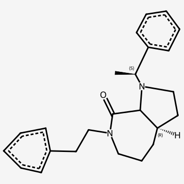 C[C@@H](c1ccccc1)N1CC[C@H]2CCCN(CCc3ccccc3)C(=O)C21